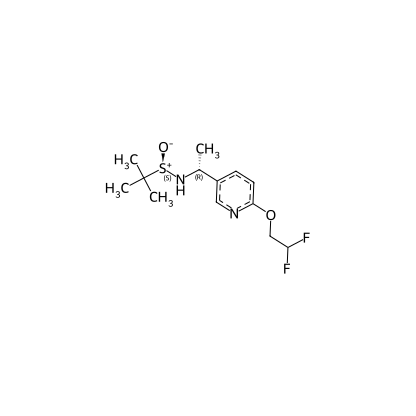 C[C@@H](N[S@+]([O-])C(C)(C)C)c1ccc(OCC(F)F)nc1